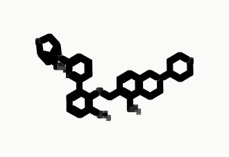 Cc1cccc(-c2cccc(N3CC4OCC3C4C(=O)O)n2)c1OCc1ccc2c(c1C)CCN(C1CCOCC1)C2